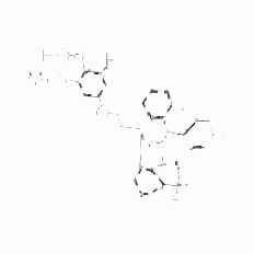 CSc1cc(OCCCN(Cc2cccc(C(C)(F)F)c2Cl)CC(C2=CCCC=C2)c2ccccc2)cc(F)c1CO